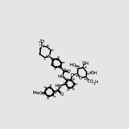 CCN1CCCN(c2ccc(C(=O)Nc3c(NC(=O)c4ccc(OC)cc4)cccc3O[C@@H]3O[C@H](C(=O)O)[C@@H](O)[C@H](O)[C@H]3O)cc2)CC1